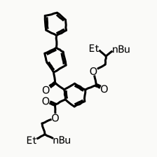 CCCCC(CC)COC(=O)c1ccc(C(=O)OCC(CC)CCCC)c(C(=O)c2ccc(-c3ccccc3)cc2)c1